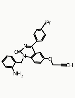 C#CCOc1ccc2c(c1)c(-c1ccc(C(C)C)cc1)nc(=O)n2Cc1ccccc1N